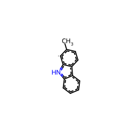 Cc1[c]c2[nH]c3ccccc3c2cc1